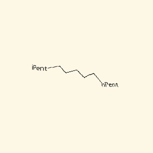 [CH2]C(CCC)CCCCCCCCCC